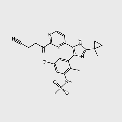 CC1(c2nc(-c3cc(Cl)cc(NS(C)(=O)=O)c3F)c(-c3ccnc(NCCC#N)n3)[nH]2)CC1